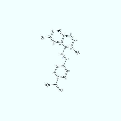 N=C(N)c1ccc(/N=N/c2c(N)ncc3ccc(Cl)cc23)cc1